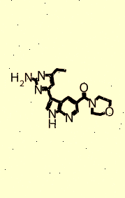 CCc1cc(-c2c[nH]c3ncc(C(=O)N4CCOCC4)cc23)nc(N)n1